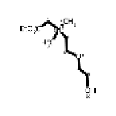 CCOC(=O)C[N+](C)(C)CCOCCO